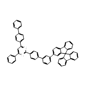 c1ccc(-c2ccc(-c3cc(-c4ccccc4)nc(-c4ccc(-c5cccc(-c6ccc7c(c6)C6(c8ccccc8-c8ccccc86)c6ccccc6-7)c5)cc4)n3)cc2)cc1